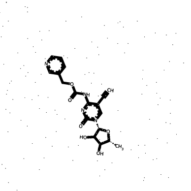 C#Cc1cn([C@@H]2O[C@H](C)C(O)C2O)c(=O)nc1NC(=O)OCc1cccnc1